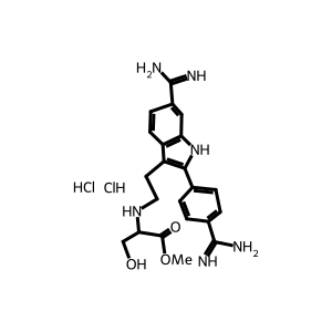 COC(=O)C(CO)NCCc1c(-c2ccc(C(=N)N)cc2)[nH]c2cc(C(=N)N)ccc12.Cl.Cl